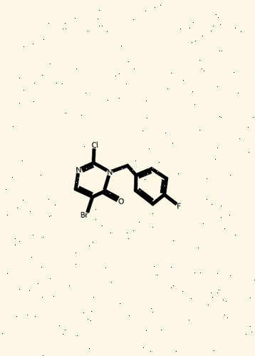 O=c1c(Br)cnc(Cl)n1Cc1ccc(F)cc1